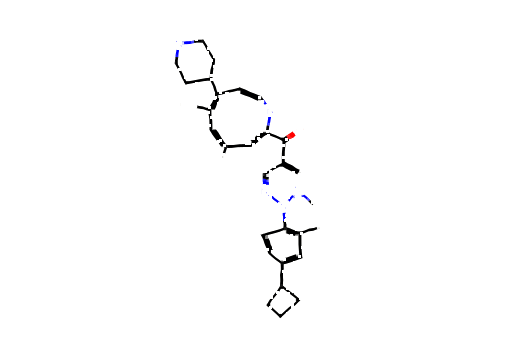 C=C(/C=N\N(NC)c1ccc(C2CCC2)cc1C)C(=O)c1cc(C)cc(C)c(C2CCNCC2)cc[nH]1